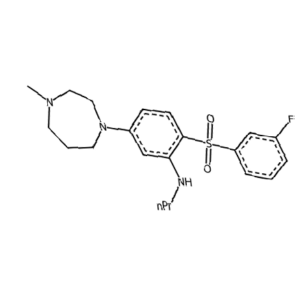 CCCNc1cc(N2CCCN(C)CC2)ccc1S(=O)(=O)c1cccc(F)c1